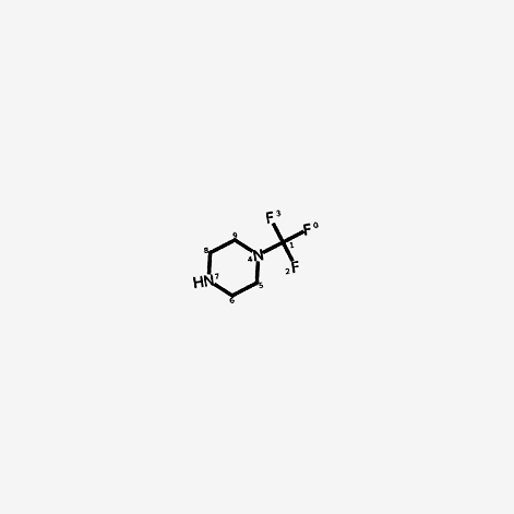 FC(F)(F)N1CCNCC1